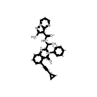 Cc1nn2cccnc2c1C(=O)NC(C)c1nc2cccc(C#CC3CC3)c2c(=O)n1-c1ccccc1